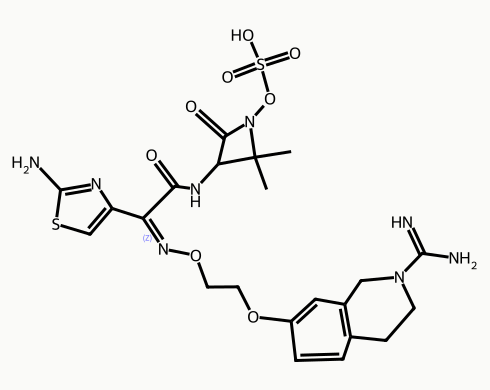 CC1(C)C(NC(=O)/C(=N\OCCOc2ccc3c(c2)CN(C(=N)N)CC3)c2csc(N)n2)C(=O)N1OS(=O)(=O)O